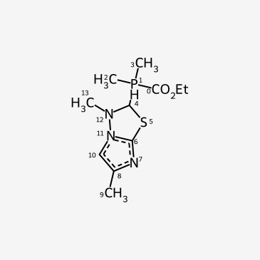 CCOC(=O)[PH](C)(C)C1Sc2nc(C)cn2N1C